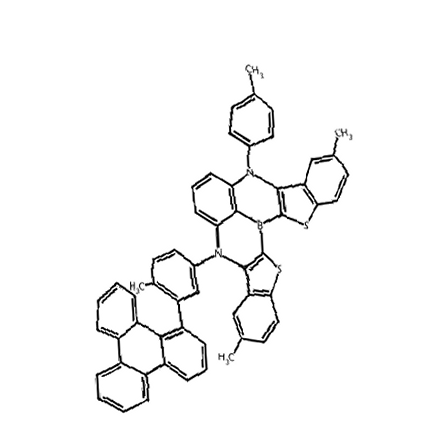 Cc1ccc(N2c3cccc4c3B(c3sc5ccc(C)cc5c32)c2sc3ccc(C)cc3c2N4c2ccc(C)c(-c3cccc4c5ccccc5c5ccccc5c34)c2)cc1